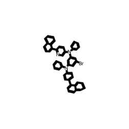 Brc1cc(N(c2ccccc2)c2ccc(-c3cccc4ccccc34)cc2)cc(N(c2ccccc2)c2ccc(-c3cccc4ccccc34)nc2)c1